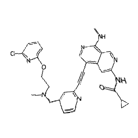 CNc1ncc(C#Cc2cc(CN(C)CCOc3cccc(Cl)n3)ccn2)c2cc(NC(=O)C3CC3)ncc12